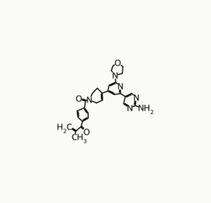 C=C(C)C(=O)c1ccc(C(=O)N2CC=C(c3cc(-c4cnc(N)nc4)nc(N4CCOCC4)c3)CC2)cc1